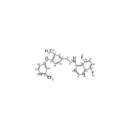 Cc1cc(CCNc2ncnc3c(F)ccc(F)c23)ccc1Oc1ccnc(C(F)(F)F)c1